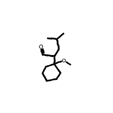 COC1(C(C=O)CC(C)C)CCCCC1